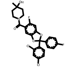 CC1(O)CCN(C(=O)c2cc3c(cc2F)OC(c2ccc(F)cc2)(c2ccc(Cl)cc2Cl)O3)CC1